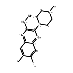 Cc1cc2nc(NN)c(N3CCN(C)CC3)nc2cc1F